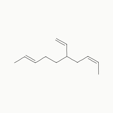 C=CC(C/C=C\C)CC/C=C/C